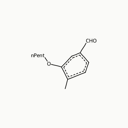 CCCCCOc1cc(C=O)ccc1C